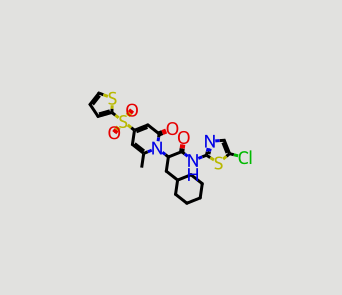 Cc1cc(S(=O)(=O)c2cccs2)cc(=O)n1C(CC1CCCCC1)C(=O)Nc1ncc(Cl)s1